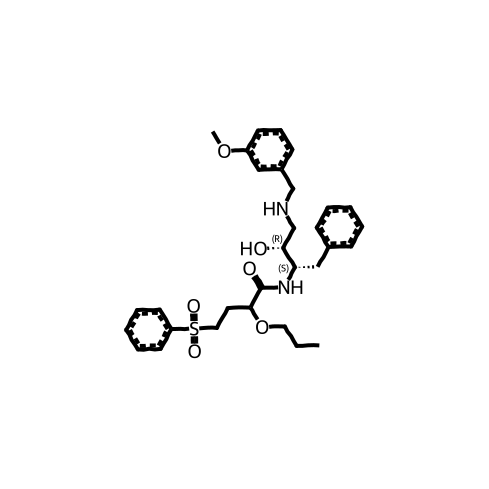 CCCOC(CCS(=O)(=O)c1ccccc1)C(=O)N[C@@H](Cc1ccccc1)[C@H](O)CNCc1cccc(OC)c1